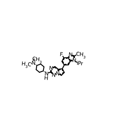 Cc1nc2c(F)cc(-c3ccn4nc(N[C@H]5CC[C@@H](N(C)C)CC5)ncc34)cc2n1C(C)C